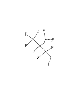 CCC(F)(F)C(C)(C(F)F)C(F)(F)F